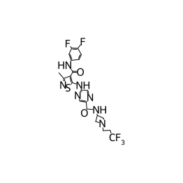 Cc1nsc(Nc2cnc(C(=O)NC3CN(CCC(F)(F)F)C3)cn2)c1C(=O)Nc1ccc(F)c(F)c1